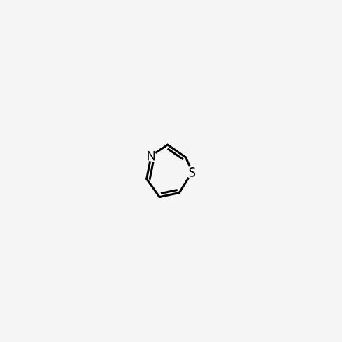 C1=CSC=CN=C1